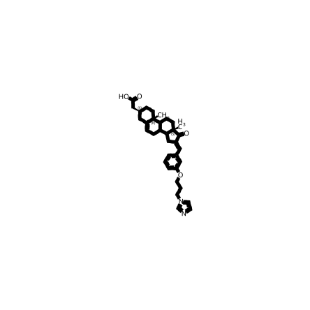 C[C@]12CC[C@H](CC(=O)O)CC1=CCC1C2CC[C@]2(C)C(=O)C(=Cc3cccc(OCCCn4ccnc4)c3)CC12